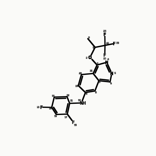 CC(Oc1nncc2cc(Nc3ccc(F)cc3F)ccc12)C(F)(F)F